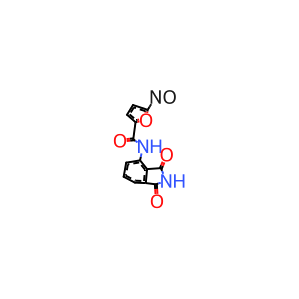 O=Nc1ccc(C(=O)Nc2cccc3c2C(=O)NC3=O)o1